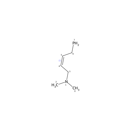 CN(C)C/C=C\CP